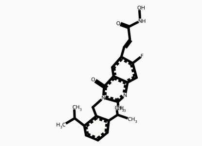 Cc1nc2cc(F)c(/C=C/C(=O)NO)cc2c(=O)n1Cc1c(C(C)C)cccc1C(C)C